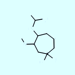 CNC1CC(C)(C)CCCC1NC(C)C